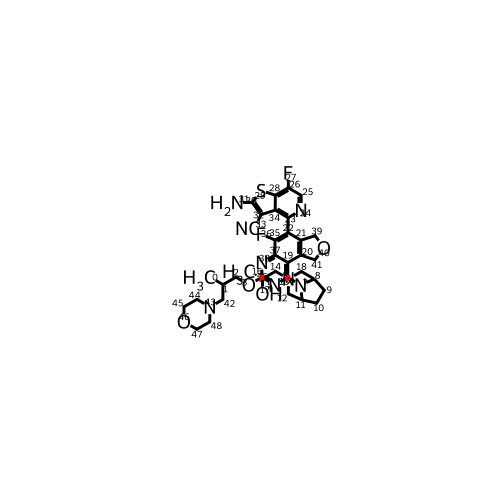 CC(COc1nc(N2C3CCC2CN(C[C@@H](C)O)C3)c2c3c(c(-c4ncc(F)c5sc(N)c(C#N)c45)c(F)c2n1)COC3)CN1CCOCC1